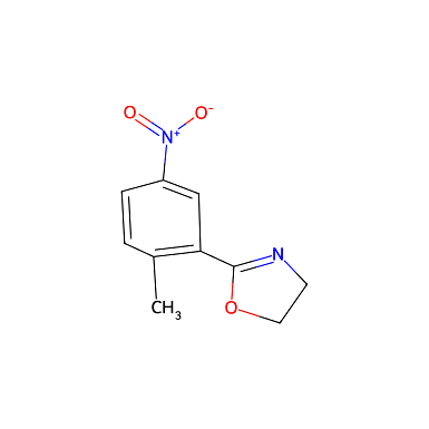 Cc1ccc([N+](=O)[O-])cc1C1=NCCO1